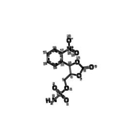 NS(=O)(=O)OCC1OC(=O)OC1c1ccccc1[N+](=O)[O-]